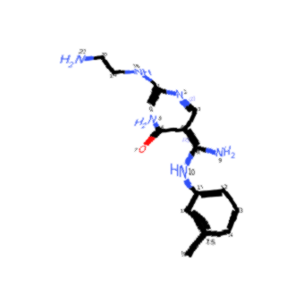 C=C(/N=C\C(C(N)=O)=C(/N)Nc1cccc(C)c1)NCCN